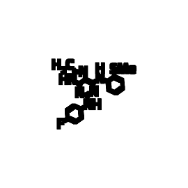 CSc1ccccc1Nc1nc(Nc2ccc(F)cc2)nc2[nH]c(C)nc12